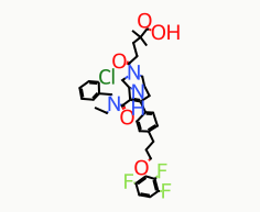 CCN(Cc1ccccc1Cl)C(=O)C1=C(c2ccc(CCCOc3c(F)ccc(F)c3F)cc2)CC2CN(C(=O)CCC(C)(C)C(=O)O)CC1N2